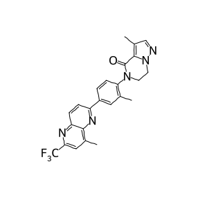 Cc1cc(-c2ccc3nc(C(F)(F)F)cc(C)c3n2)ccc1N1CCn2ncc(C)c2C1=O